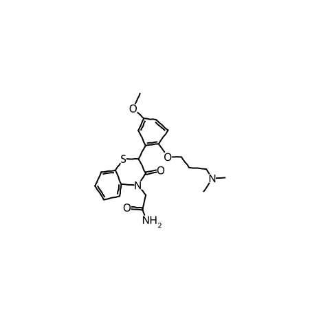 COc1ccc(OCCCN(C)C)c(C2Sc3ccccc3N(CC(N)=O)C2=O)c1